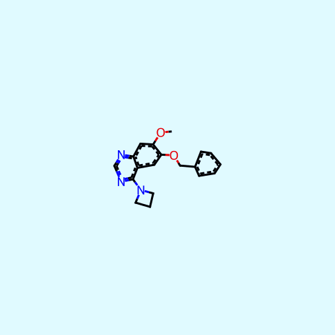 COc1cc2ncnc(N3CCC3)c2cc1OCc1ccccc1